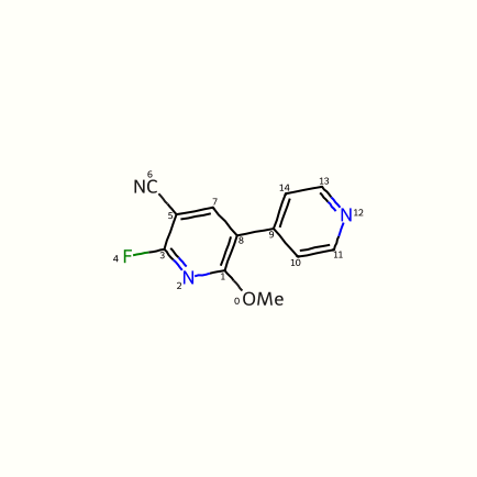 COc1nc(F)c(C#N)cc1-c1ccncc1